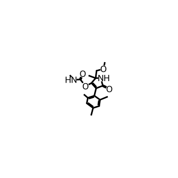 CNC(=O)OC1=C(c2c(C)cc(C)cc2C)C(=O)NC1(C)COC